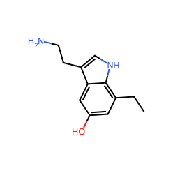 CCc1cc(O)cc2c(CCN)c[nH]c12